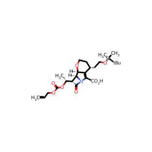 C=CCOC(=O)O[C@H](C)[C@H]1C(=O)N2C(C(=O)O)=C3[C@@H](CCO[Si](C)(C)C(C)(C)C)CCO[C@@H]3[C@H]12